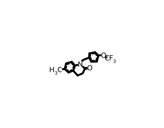 Cc1ccc2c(c1)CCC(=O)N2Cc1ccc(OC(F)(F)F)cc1